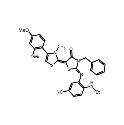 CCNc1ccc(C#N)cc1N=C1SC(=C2SC=C(c3ccc(OC)cc3OC)N2C)C(=O)N1Cc1ccccc1